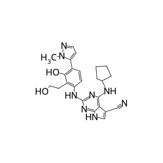 Cn1nccc1-c1ccc(Nc2nc(NC3CCCC3)c3c(C#N)c[nH]c3n2)c(CCO)c1O